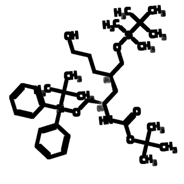 CC(C)(C)OC(=O)N[C@H](CO[Si](c1ccccc1)(c1ccccc1)C(C)(C)C)C[C@@H](CCCO)CO[Si](C)(C)C(C)(C)C